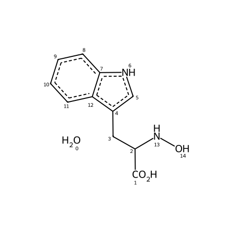 O.O=C(O)C(Cc1c[nH]c2ccccc12)NO